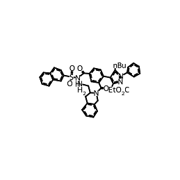 CCCCc1c(-c2ccc(C(=O)NS(=O)(=O)c3ccc4ccccc4c3)cc2C(=O)N2Cc3ccccc3CC2CN)c(C(=O)OCC)nn1-c1ccccc1